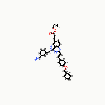 CCOC(=O)C=Cc1ccc2nc(C=Cc3ccc(OCc4ccccc4)cc3)nc(NCC3CCCC(CN)C3)c2c1